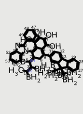 B/C(C)=C(B)/C(B)=C1\CC(c2ccc3c(c2)C(C(B)(B)B)(C(B)(B)B)c2ccccc2-3)=c2c(O)c(O)c(O)c(O)c2=C1n1c(-c2ccccc2)nc2ccccc21